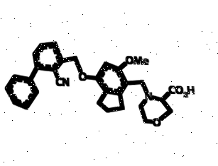 COc1cc(OCc2cccc(-c3ccccc3)c2C#N)c2c(c1CN1CCOCC1C(=O)O)CCC2